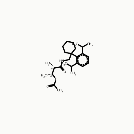 CC(=O)O[C@H](C)[C@H](N)C(=O)NCC1(c2c(C(C)C)cccc2C(C)C)CCCCC1